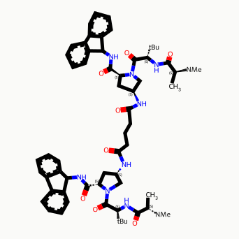 CN[C@@H](C)C(=O)N[C@H](C(=O)N1C[C@@H](NC(=O)CCCC(=O)N[C@H]2C[C@@H](C(=O)NC3c4ccccc4-c4ccccc43)N(C(=O)[C@@H](NC(=O)[C@H](C)NC)C(C)(C)C)C2)C[C@H]1C(=O)NC1c2ccccc2-c2ccccc21)C(C)(C)C